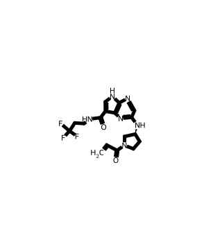 C=CC(=O)N1CC[C@@H](Nc2cnc3[nH]cc(C(=O)NCCC(F)(F)F)c3n2)C1